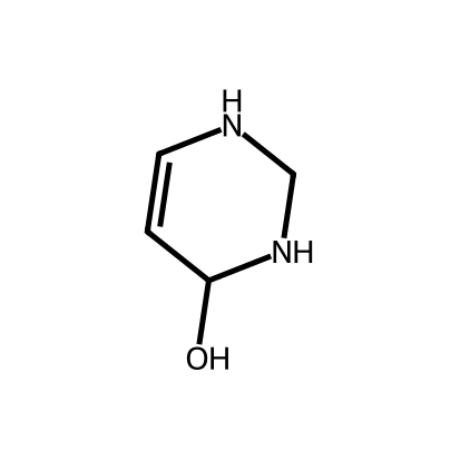 OC1C=CNCN1